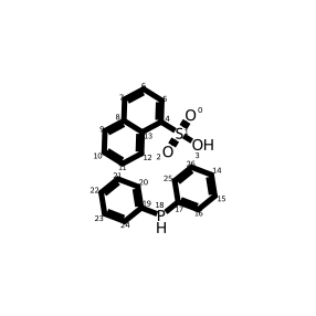 O=S(=O)(O)c1cccc2ccccc12.c1ccc(Pc2ccccc2)cc1